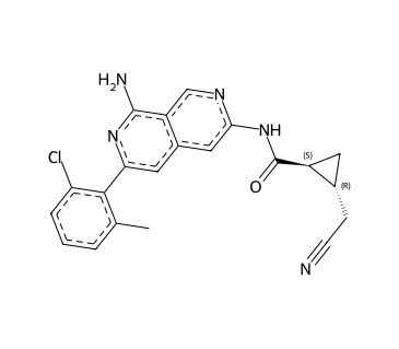 Cc1cccc(Cl)c1-c1cc2cc(NC(=O)[C@H]3C[C@@H]3CC#N)ncc2c(N)n1